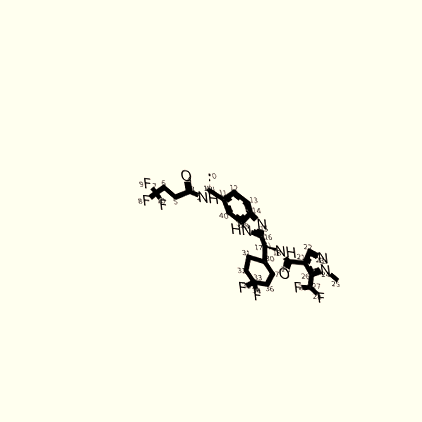 C[C@@H](NC(=O)CCC(F)(F)F)c1ccc2nc([C@@H](NC(=O)c3cnn(C)c3C(F)F)C3CCC(F)(F)CC3)[nH]c2c1